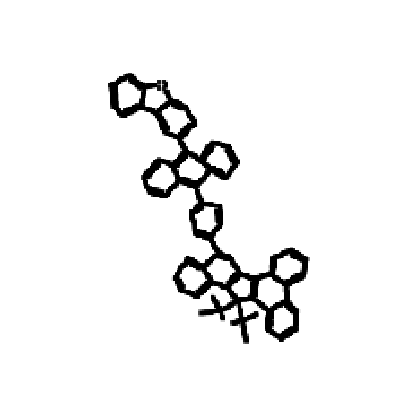 CC(C)(C)C1(C(C)(C)C)c2c(cc(-c3ccc(-c4c5ccccc5c(-c5ccc6oc7ccccc7c6c5)c5ccccc45)cc3)c3ccccc23)-c2c1c1ccccc1c1ccccc21